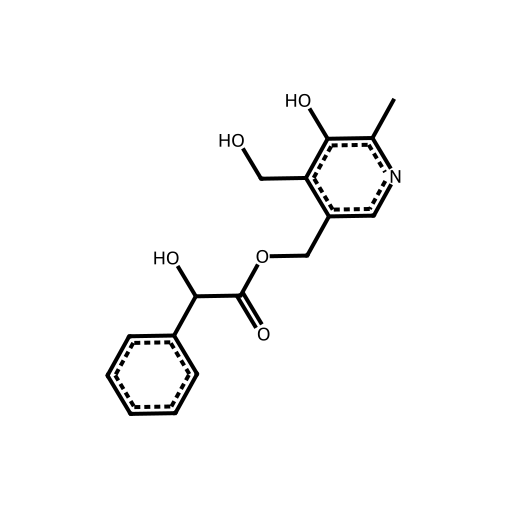 Cc1ncc(COC(=O)C(O)c2ccccc2)c(CO)c1O